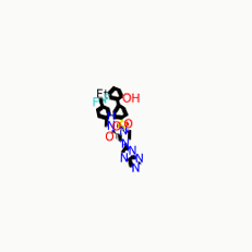 CCC(F)(F)c1ccc(CNC(=O)[C@H]2CN(c3cnc4cncnc4n3)CCN2S(=O)(=O)c2ccc(-c3ccccc3O)cc2)cc1